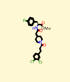 COC(=O)[C@H](Cc1ccc(F)cc1)NC(=O)CC1CCN(C(=O)CCc2ccc(Cl)c(Cl)c2)CC1